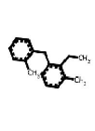 CCc1c(C)cccc1Cc1ccccc1C